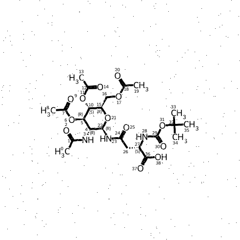 CC(=O)N[C@@H]1[C@@H](OC(C)=O)[C@H](OC(C)=O)[C@@H](COC(C)=O)O[C@H]1NC(=O)C[C@H](NC(=O)OC(C)(C)C)C(=O)O